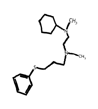 CN(CCCSc1ccccc1)CCN(C)C1CCCCC1